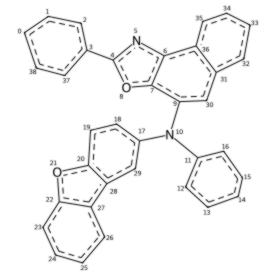 c1ccc(-c2nc3c(o2)c(N(c2ccccc2)c2ccc4oc5ccccc5c4c2)cc2ccccc23)cc1